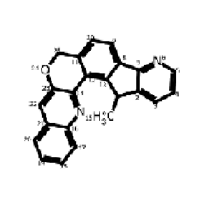 CC1c2cccnc2-c2ccc3c(c21)-c1nc2ccccc2cc1OC3